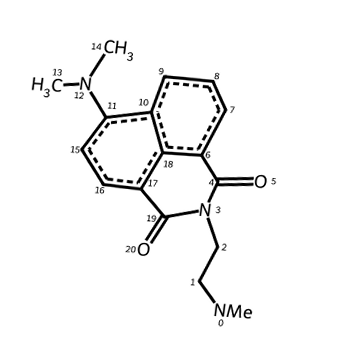 CNCCN1C(=O)c2cccc3c(N(C)C)ccc(c23)C1=O